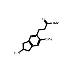 COC(=O)CCc1cc2c(cc1OC)CC(N)C2